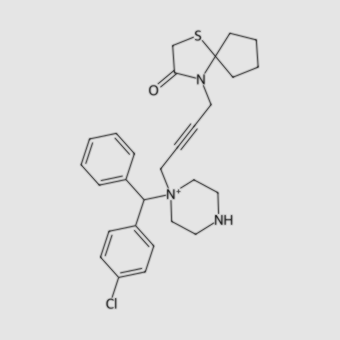 O=C1CSC2(CCCC2)N1CC#CC[N+]1(C(c2ccccc2)c2ccc(Cl)cc2)CCNCC1